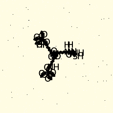 C=CC(=O)OCC(COC(=O)C=C)(COC(=O)C=C)COC(=O)NCCCCCCn1c(=O)n(CCCCCCNC(=O)Nc2n[nH]c(S)n2)c(=O)n(CCCCCCNC(=O)OCC(COC(=O)C=C)(COC(=O)C=C)COC(=O)C=C)c1=O